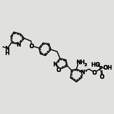 CNc1cccc(COc2ccc(Cc3cc(-c4ccc[n+](COP(=O)(O)O)c4N)on3)cc2)n1